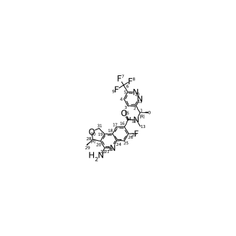 C[C@H](c1ccc(C(F)(F)F)nn1)N(C)C(=O)c1cc2c3c(c(N)nc2cc1F)[C@@H](C)OC3